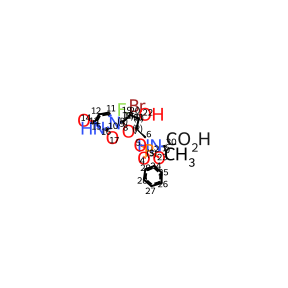 CC(N[P@](=O)(OC[C@H]1O[C@@H](n2ccc(=O)[nH]c2=O)[C@@](F)(Br)[C@@H]1O)Oc1ccccc1)C(=O)O